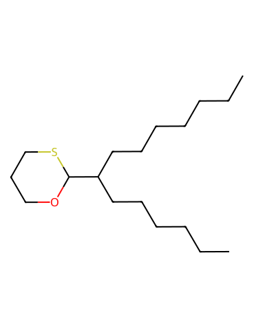 CCCCCCCC(CCCCCC)C1OCCCS1